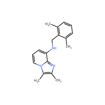 Cc1cccc(C)c1CNc1cccn2c(C)c(C)nc12